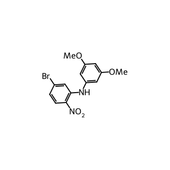 COc1cc(Nc2cc(Br)ccc2[N+](=O)[O-])cc(OC)c1